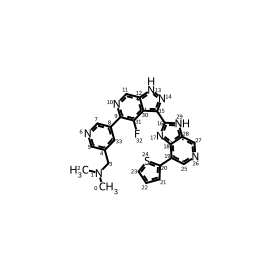 CN(C)Cc1cncc(-c2ncc3[nH]nc(-c4nc5c(-c6cccs6)cncc5[nH]4)c3c2F)c1